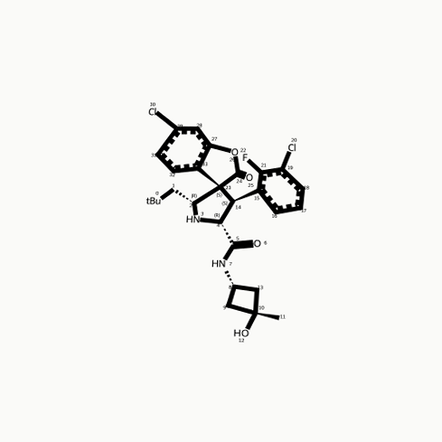 CC(C)(C)C[C@H]1N[C@@H](C(=O)N[C@H]2C[C@@](C)(O)C2)[C@H](c2cccc(Cl)c2F)[C@@]12C(=O)Oc1cc(Cl)ccc12